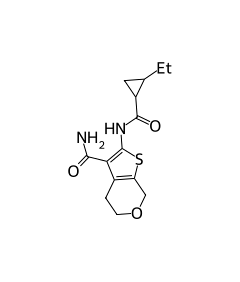 CCC1CC1C(=O)Nc1sc2c(c1C(N)=O)CCOC2